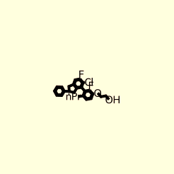 CCC[C@]1(c2ccccc2)Cc2cc(F)c(Cl)c(-c3c(C)ccc(OCCO)c3F)c2C1